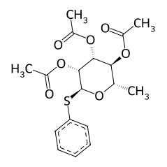 CC(=O)O[C@@H]1[C@@H](OC(C)=O)[C@H](C)O[C@@H](Sc2ccccc2)[C@@H]1OC(C)=O